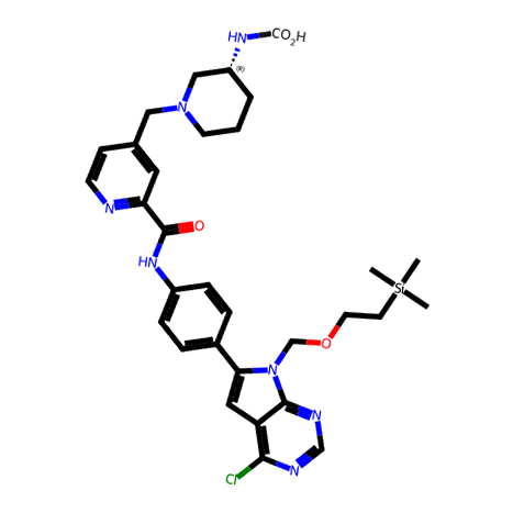 C[Si](C)(C)CCOCn1c(-c2ccc(NC(=O)c3cc(CN4CCC[C@@H](NC(=O)O)C4)ccn3)cc2)cc2c(Cl)ncnc21